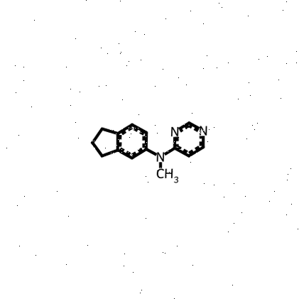 CN(c1ccc2c(c1)CCC2)c1ccncn1